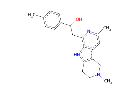 Cc1ccc(C(O)Cc2nc(C)cc3c4c([nH]c23)CCN(C)C4)cc1